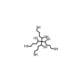 SCCCC(S)C(C(S)CCCS)(C(S)CCCS)C(S)CCCS